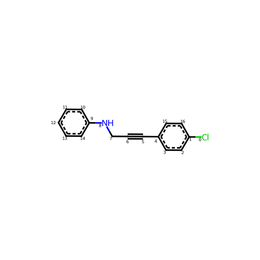 Clc1ccc(C#CCNc2ccccc2)cc1